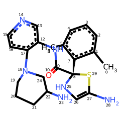 Cc1cccc(C)c1[C@]1(C(=O)Nc2cnccc2N2CCCC(N)C2)NC=C(N)S1